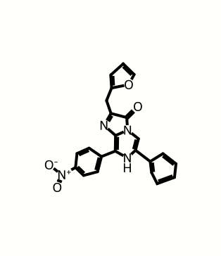 O=c1c(Cc2ccco2)nc2c(-c3ccc([N+](=O)[O-])cc3)[nH]c(-c3ccccc3)cn1-2